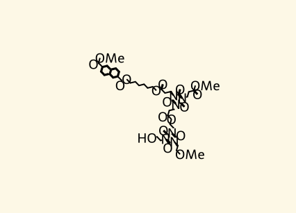 COCCn1c(=O)n(CCO)c(=O)n(CCOC(=O)CCn2c(=O)n(CCC(=O)OC)c(=O)n(CCC(=O)OCCCCCCOC(=O)c3ccc4cc(C(=O)OC)ccc4c3)c2=O)c1=O